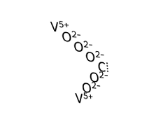 [C].[O-2].[O-2].[O-2].[O-2].[O-2].[V+5].[V+5]